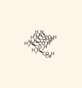 NC(=O)O.NC(=O)O.NC(=O)O.NC(=O)O.NC(=O)O.NC(=O)O.[Co]